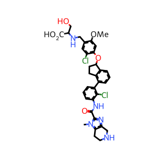 COc1cc(OC2CCc3c(-c4cccc(NC(=O)c5nc6c(n5C)CCNC6)c4Cl)cccc32)c(Cl)cc1CNC(CO)C(=O)O